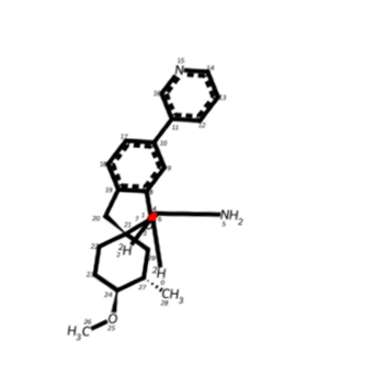 [2H]C1([2H])OC(N)=N[C@]12c1cc(-c3cccnc3)ccc1C[C@@]21CC[C@H](OC)[C@@H](C)C1